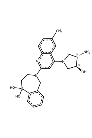 Cc1ccc2nc(N3CCS(O)(O)c4ccccc4C3)cc(N3C[C@H](N)[C@@H](O)C3)c2c1